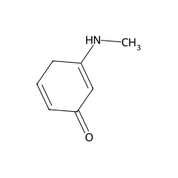 CNC1=CC(=O)C=CC1